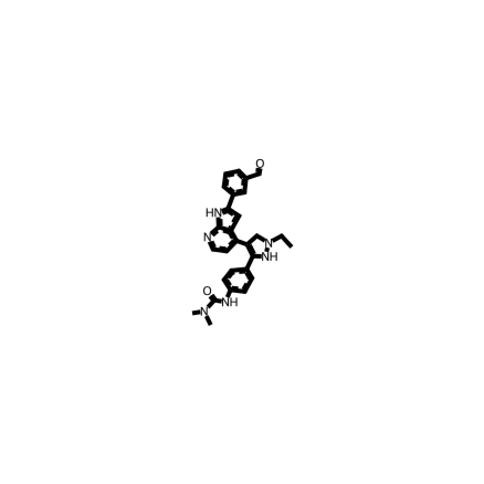 CCN1CC(c2ccnc3[nH]c(-c4cccc(C=O)c4)cc23)=C(c2ccc(NC(=O)N(C)C)cc2)N1